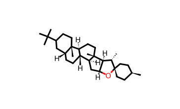 C[C@H]1[C@H]2[C@H](C[C@H]3[C@@H]4CC[C@@H]5CC(C(C)(C)C)CC[C@]5(C)[C@H]4CC[C@]23C)O[C@]12CC[C@H](C)CC2